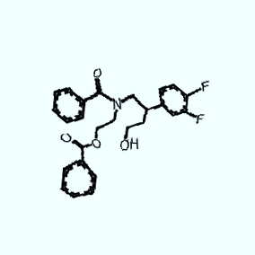 O=C(OCCN(CC(CCO)c1ccc(F)c(F)c1)C(=O)c1ccccc1)c1ccccc1